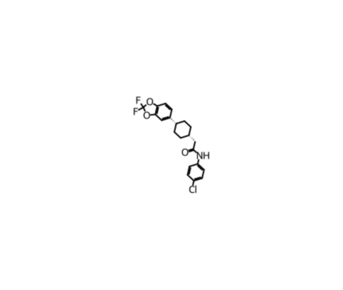 O=C(C[C@H]1CC[C@@H](c2ccc3c(c2)OC(F)(F)O3)CC1)Nc1ccc(Cl)cc1